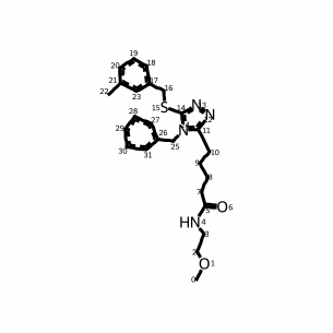 COCCNC(=O)CCCCc1nnc(SCc2cccc(C)c2)n1Cc1ccccc1